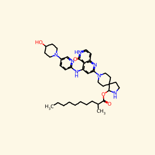 CCCCCCCCC(C)C(=O)OC1NCCC12CCN(c1cc(Nc3ccc(N4CCC(O)CC4)cn3)c3c(=O)[nH]ccc3n1)CC2